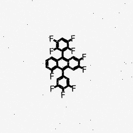 Fc1cc2c(-c3c(F)c(F)cc(F)c3F)c3cccc(F)c3c(-c3cc(F)c(F)c(F)c3)c2cc1F